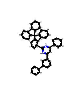 c1ccc(-c2cccc(-c3cc(-c4ccccc4)nc(-c4cccc5c4-c4ccccc4C54c5ccccc5-c5ccccc54)n3)c2)cc1